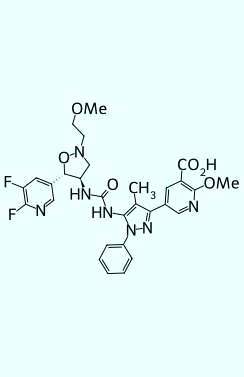 COCCN1C[C@@H](NC(=O)Nc2c(C)c(-c3cnc(OC)c(C(=O)O)c3)nn2-c2ccccc2)[C@H](c2cnc(F)c(F)c2)O1